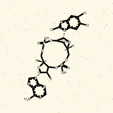 Nc1ncnc2c1ncn2[C@@H]1O[C@@H]2COP(=O)(O)OC3C(O)[C@@H](COP(=O)(O)OC2C1F)O[C@H]3n1c(Cl)nc2cc(Cl)c(Cl)cc21